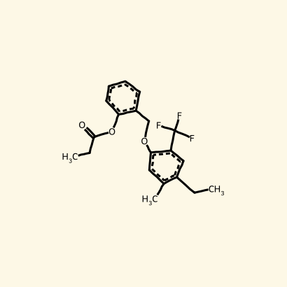 CCC(=O)Oc1ccccc1COc1cc(C)c(CC)cc1C(F)(F)F